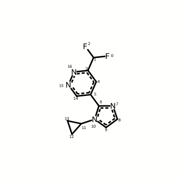 FC(F)c1cc(-c2nccn2C2CC2)cnn1